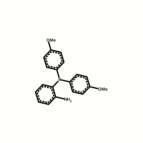 COc1ccc(N(c2ccc(OC)cc2)c2ccccc2N)cc1